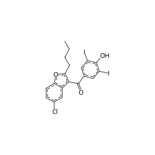 CCCCc1oc2ccc(Cl)cc2c1C(=O)c1cc(I)c(O)c(I)c1